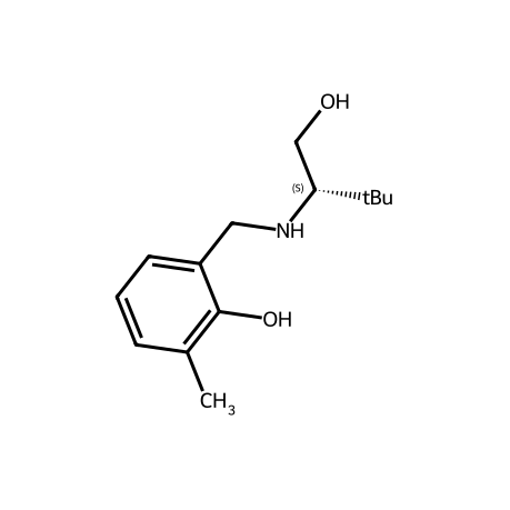 Cc1cccc(CN[C@H](CO)C(C)(C)C)c1O